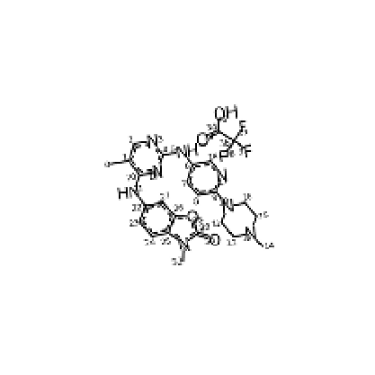 Cc1cnc(Nc2ccc(N3CCN(C)CC3)nc2)nc1Nc1ccc2c(c1)oc(=O)n2C.O=C(O)C(F)(F)F